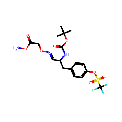 CC(C)(C)OC(=O)NC(C=NOCC(=O)ON)Cc1ccc(OS(=O)(=O)C(F)(F)F)cc1